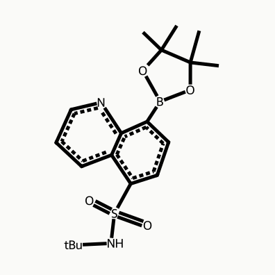 CC(C)(C)NS(=O)(=O)c1ccc(B2OC(C)(C)C(C)(C)O2)c2ncccc12